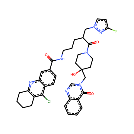 O=C(NCCCC(Cn1ccc(F)n1)C(=O)N1CCC(O)(Cn2cnc3ccccc3c2=O)CC1)c1ccc2c(Cl)c3c(nc2c1)CCCC3